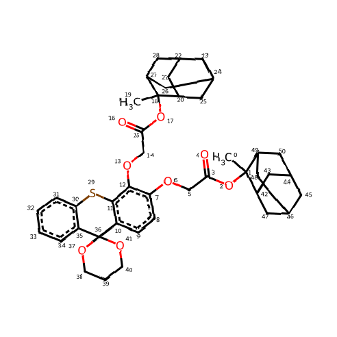 CC1(OC(=O)COc2ccc3c(c2OCC(=O)OC2(C)C4CC5CC(C4)CC2C5)Sc2ccccc2C32OCCCO2)C2CC3CC(C2)CC1C3